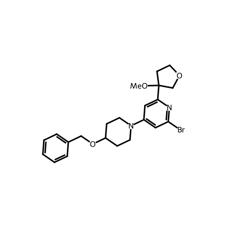 COC1(c2cc(N3CCC(OCc4ccccc4)CC3)cc(Br)n2)CCOC1